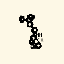 Cc1ccccc1-c1c(C)ccc2cc3c(cc12)[nH]c1ccc(-c2ccc4c(c2)c2ccccc2n4-c2ccccc2)cc13